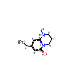 CC(C)Cc1cc2n(c(=O)c1)CCCN2C